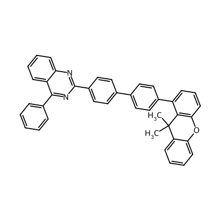 CC1(C)c2ccccc2Oc2cccc(-c3ccc(-c4ccc(-c5nc(-c6ccccc6)c6ccccc6n5)cc4)cc3)c21